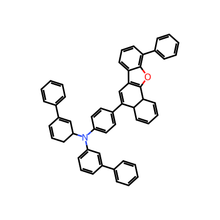 C1=CC2C(c3ccc(N(c4cccc(-c5ccccc5)c4)C4C=C(c5ccccc5)C=CC4)cc3)=Cc3c(oc4c(-c5ccccc5)cccc34)C2C=C1